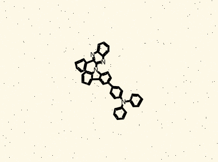 c1ccc(-c2nc3ccccc3nc2-n2c3ccccc3c3cc(-c4ccc(N(c5ccccc5)c5ccccc5)cc4)ccc32)cc1